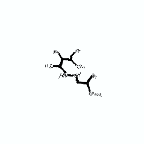 CCCCCC(CNNC(C)C(C(C)CC)C(C)C(C)C)C(C)C